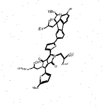 CCCCCCCCC(CCCCCC)CN1C(=O)C2=C(c3ccc(C(C)(C)C)s3)N(CC(CCCCCC)CCCCCCCC)C(=O)C2=C1c1ccc(-c2ccc3c(c2)C(CC(CC)CCCC)(CC(CC)CCCC)c2cc(C(C)(C)C)ccc2-3)s1